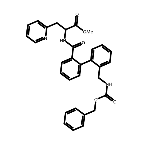 COC(=O)C(Cc1ccccn1)NC(=O)c1ccccc1-c1ccccc1CNC(=O)OCc1ccccc1